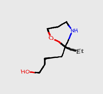 CCC1(CCCO)NCCO1